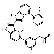 CCNCc1cncc(-c2ccc3[nH]nc(-c4nc5c(-c6ccccc6F)nccc5[nH]4)c3c2F)c1